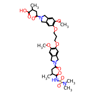 COc1cc2c(cc1OCCCOc1cc3c(cc1OC)CN(C(=O)CC(C)C(=O)NS(=O)(=O)N(C)C)C3)CN(C(=O)CC(C)C(=O)O)C2